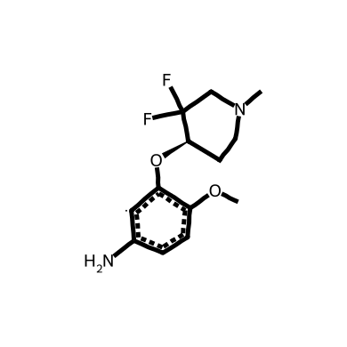 COc1ccc(N)[c]c1O[C@@H]1CCN(C)CC1(F)F